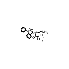 C=C(C)C(=O)N(CCCN)C(=O)c1ccccc1C(=O)c1ccccc1